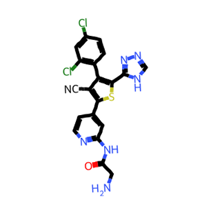 N#Cc1c(-c2ccnc(NC(=O)CN)c2)sc(-c2nnc[nH]2)c1-c1ccc(Cl)cc1Cl